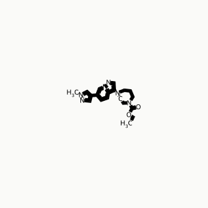 CCOC(=O)N1CCCN(c2cnn3cc(-c4cnn(C)c4)ccc23)CC1